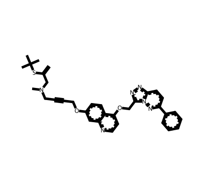 C=C(CN(C)CC#CCOc1ccc2c(OCc3nnc4ccc(-c5ccccc5)nn34)ccnc2c1)SC(C)(C)C